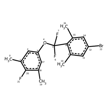 Cc1cc(OC(F)(F)c2c(C)cc(Br)cc2C)cc(C)c1F